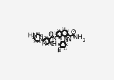 NC(=O)c1nn(-c2ccc(F)cc2)c2c1CCc1ccc(NC(=O)c3cc(N4CCCNCC4)ncc3Cl)cc1-2